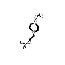 CCON1CCN(CCO[SH](=O)=O)CC1